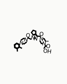 Cc1cccc(N2CCN(C(=O)Cn3nc(C(=O)N4CCN(C(=O)CO)[C@H](C)C4)c4c3CCC4)CC2)c1C